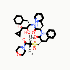 CC(C)(C(=O)N1CCOCC1)S(=O)(=O)C[C@@H](Cc1ccccc1)C(=O)N[C@H](Cc1ccccn1)C(=O)N[C@@H](CC1CCCCC1)[C@@H](O)[C@@H](O)C1CC1